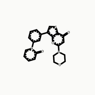 O=c1cc(N2CCOCC2)oc2c(-c3cccc(-n4ccccc4=O)c3)csc12